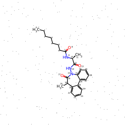 CCCCCCCC(=O)N[C@@H](C)C(=O)NN1C(=O)C(C)c2ccccc2-c2ccccc21